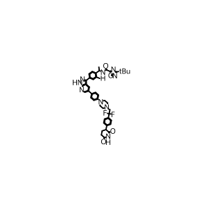 Cc1cc(-c2n[nH]c3ncc(-c4ccc(N5CCN(CC(F)(F)c6ccc(C7CCC(=O)NC7=O)cc6)CC5)cc4)cc23)ccc1C(C)NC(=O)c1nc(C(C)(C)C)no1